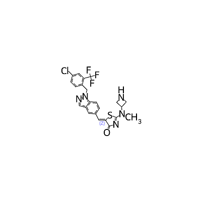 CN(C1=NC(=O)/C(=C/c2ccc3c(cnn3Cc3ccc(Cl)cc3C(F)(F)F)c2)S1)C1CNC1